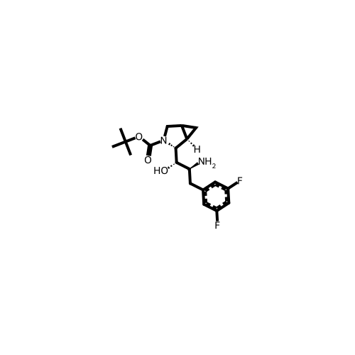 CC(C)(C)OC(=O)N1CC2C[C@H]2[C@@H]1[C@@H](O)[C@@H](N)Cc1cc(F)cc(F)c1